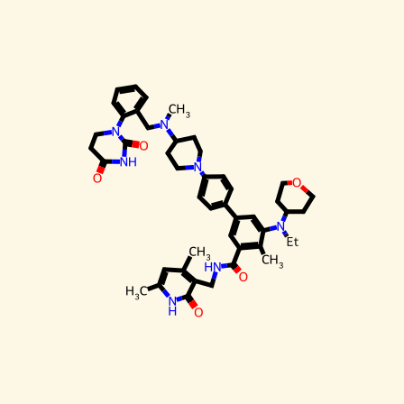 CCN(c1cc(-c2ccc(N3CCC(N(C)Cc4ccccc4N4CCC(=O)NC4=O)CC3)cc2)cc(C(=O)NCc2c(C)cc(C)[nH]c2=O)c1C)C1CCOCC1